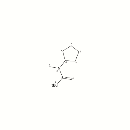 C=C(N(C)C1CCCC1)C(C)(C)C